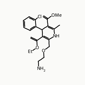 C=C(OC)C1=C(C)NC(COCCN)=C(C(=C)OCC)C1c1ccccc1Cl